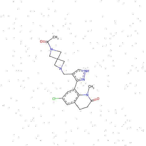 CC(=O)N1CC2(CN(Cc3c[nH]nc3-c3cc(Cl)cc4c3N(C)C(=O)CC4)C2)C1